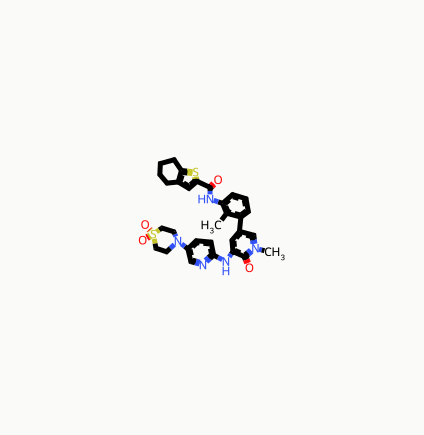 Cc1c(NC(=O)c2cc3c(s2)CCCC3)cccc1-c1cc(Nc2ccc(N3CCS(=O)(=O)CC3)cn2)c(=O)n(C)c1